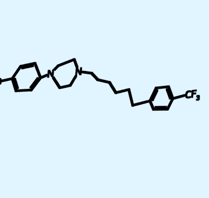 [O]c1ccc(N2CCN(CCCCCCc3ccc(C(F)(F)F)cc3)CC2)cc1